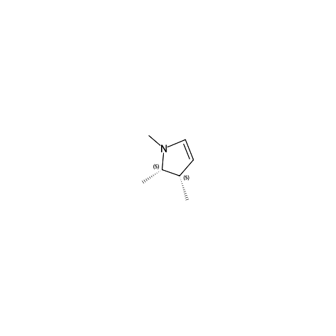 C[C@H]1C=CN(C)[C@H]1C